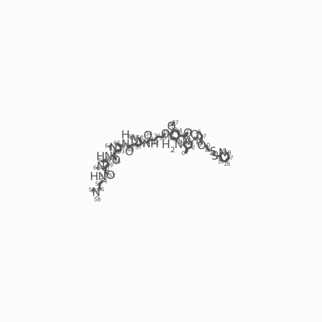 C=C1C[C@@H](C2OCCN2OCCSSc2ccccn2)N(C(=O)c2cc(OC)c(OCCCC(=O)Nc3cc(C(=O)Nc4cc(C(=O)Nc5cc(C(=O)NCCCN(C)C)n(C)c5)n(C)c4)n(C)c3)cc2N)C1